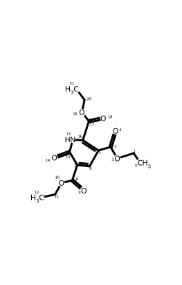 CCOC(=O)c1cc(C(=O)OCC)c(=O)[nH]c1C(=O)OCC